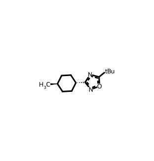 CC(C)(C)c1nc([C@H]2CC[C@H](C)CC2)no1